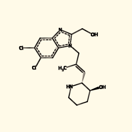 C/C(=C\[C@H]1NCCC[C@@H]1O)Cn1c(CO)nc2cc(Cl)c(Cl)cc21